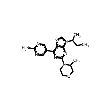 CCC(C)n1cnc2c(-c3cnc(N)nc3)nc(N3CCOCC3C)nc21